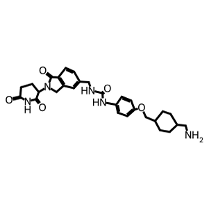 NCC1CCC(COc2ccc(NC(=O)NCc3ccc4c(c3)CN(C3CCC(=O)NC3=O)C4=O)cc2)CC1